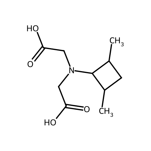 CC1CC(C)C1N(CC(=O)O)CC(=O)O